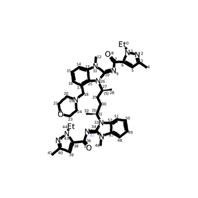 CCn1nc(C)cc1C(=O)N=c1n(C)c2cccc(CN3CCOCC3)c2n1[C@@H](C)CC[C@H](C)n1/c(=N/C(=O)c2cc(C)nn2CC)n(C)c2ccccc21